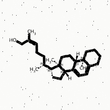 CC(=CCC[C@@H](C)[C@H]1CC[C@H]2C3=CC=C4CCCC[C@]4(C)[C@H]3CC[C@]12C)CO